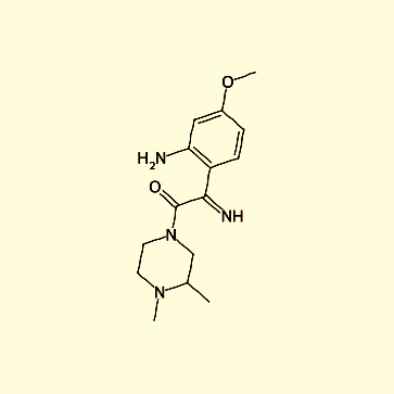 COc1ccc(C(=N)C(=O)N2CCN(C)C(C)C2)c(N)c1